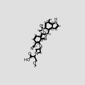 COCC(C(=O)O)N1CC(Oc2c(C#N)ccc3cn(Cc4c(S(C)(=O)=O)cc(C)c5[nH]ccc45)nc23)C1